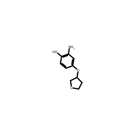 Nc1cc(OC2CCOC2)ccc1O